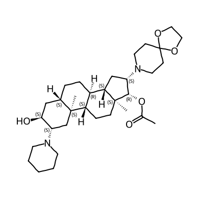 CC(=O)O[C@H]1[C@@H](N2CCC3(CC2)OCCO3)C[C@H]2[C@@H]3CC[C@H]4C[C@H](O)[C@@H](N5CCCCC5)C[C@]4(C)[C@H]3CC[C@@]21C